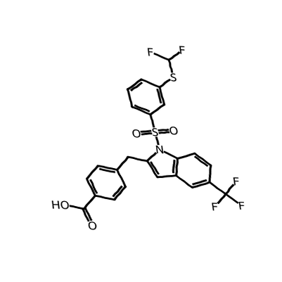 O=C(O)c1ccc(Cc2cc3cc(C(F)(F)F)ccc3n2S(=O)(=O)c2cccc(SC(F)F)c2)cc1